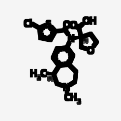 C[C@@H]1CN(C)CCc2cc(N(C(=O)c3ccc(Cl)s3)[C@@]3(C(=O)O)CCOC3)ccc21